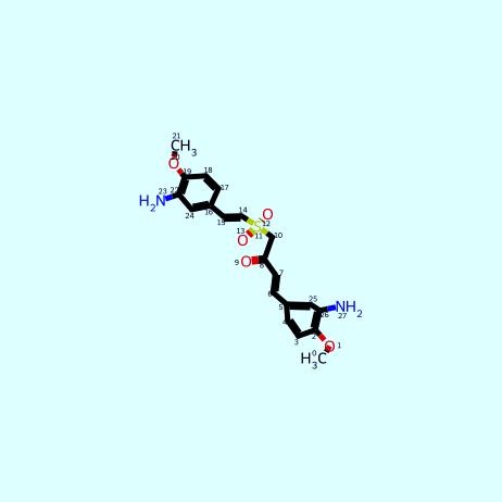 COc1ccc(C=CC(=O)CS(=O)(=O)C=Cc2ccc(OC)c(N)c2)cc1N